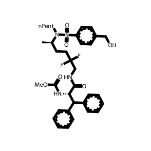 CCCCCN([C@H](C)CCC(F)(F)CNC(=O)[C@@H](NC(=O)OC)C(c1ccccc1)c1ccccc1)S(=O)(=O)c1ccc(CO)cc1